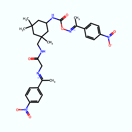 C/C(=N\CC(=O)NCC1(C)CC(NC(=O)O/N=C(\C)c2ccc([N+](=O)[O-])cc2)CC(C)(C)C1)c1ccc([N+](=O)[O-])cc1